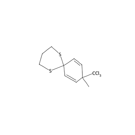 CC1(C(Cl)(Cl)Cl)C=CC2(C=C1)SCCCS2